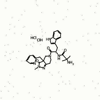 CN1N=C2CCN(C(=O)C(Cc3c[nH]c4ccccc34)NC(=O)C(C)(C)N)CC2(Cc2ccccn2)C1=O.Cl.Cl